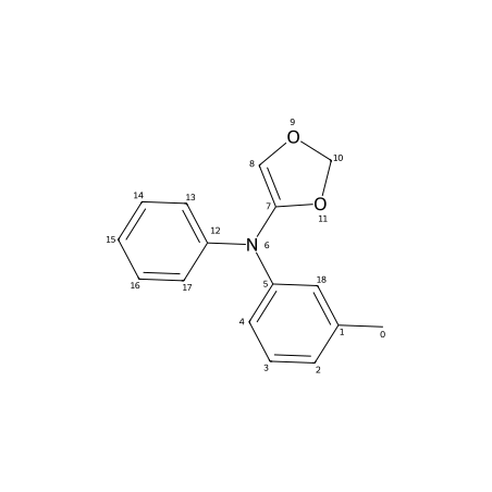 Cc1cccc(N(C2=COCO2)c2ccccc2)c1